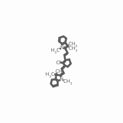 CN1C2=C(CCC=C2)C(C)(C)/C1=C\C=C1/CCCC(/C=C/C2=[N+](C)C3=C(CCC=C3)C2(C)C)=C1Cl